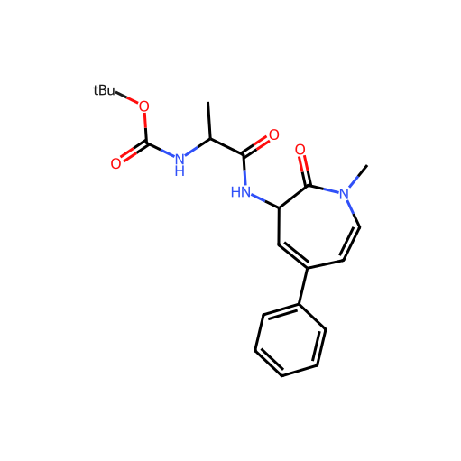 CC(NC(=O)OC(C)(C)C)C(=O)NC1C=C(c2ccccc2)C=CN(C)C1=O